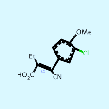 CC/C(C(=O)O)=C(/C#N)c1ccc(OC)c(Cl)c1